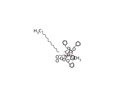 CCCCCCCCCCCCCC[C@H]1OC(=O)O[C@H]1[C@H](CCC12OC(CC)C(O1)C(OCc1ccccc1)C2OCc1ccccc1)N(Cc1ccccc1)C(=O)OCc1ccccc1